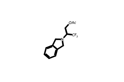 CC(=O)OCC(N1Cc2ccccc2C1)C(F)(F)F